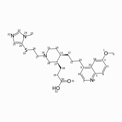 COc1ccc2nccc(CCC[C@@H]3CCN(CCSc4cncn4C)C[C@@H]3CCC(=O)O)c2c1